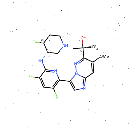 COc1cc2ncc(-c3nc(N[C@H]4CNCC[C@@H]4F)c(F)cc3F)n2nc1[C@](C)(O)C(F)(F)F